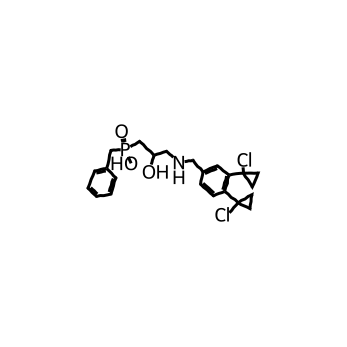 O=P(O)(Cc1ccccc1)CC(O)CNCc1ccc(C2(Cl)CC2)c(C2(Cl)CC2)c1